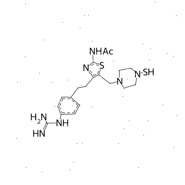 CC(=O)Nc1nc(CCc2ccc(NC(=N)N)cc2)c(CN2CCN(S)CC2)s1